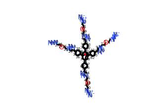 [N-]=[N+]=NCCOCCn1cc(-c2ccc(C34CC5(c6ccc(-c7cn(CCOCCN=[N+]=[N-])nn7)cc6)CC(c6ccc(-c7cn(CCOCCN=[N+]=[N-])nn7)cc6)(C3)CC(c3ccc(-c6cn(CCOCCN=[N+]=[N-])nn6)cc3)(C4)C5)cc2)nn1